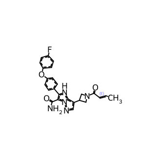 C/C=C/C(=O)N1CC(c2cnn3c(C(N)=O)c(-c4ccc(Oc5ccc(F)cc5)cc4)[nH]c23)C1